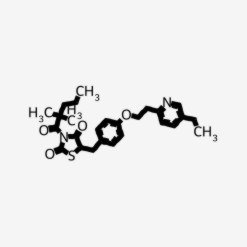 CCCC(C)(C)C(=O)N1C(=O)SC(Cc2ccc(OCCc3ccc(CC)cn3)cc2)C1=O